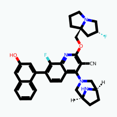 N#Cc1c(OC[C@@]23CCCN2C[C@H](F)C3)nc2c(F)c(-c3cc(O)cc4ccccc34)ccc2c1N1C[C@H]2CC[C@@H](C1)N2